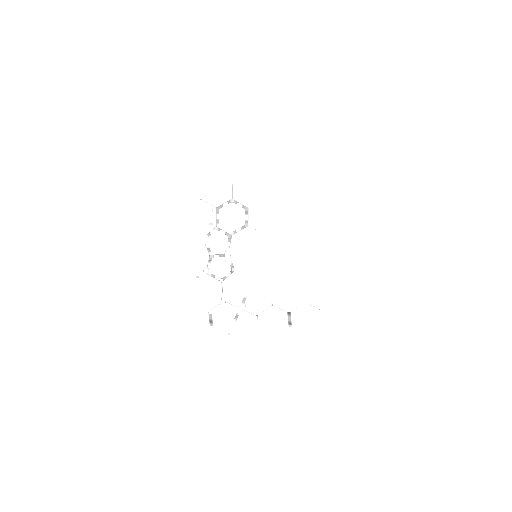 COC(=O)CCS(=O)(=O)N(C=O)c1cn2c(n1)sc1c(Cl)c(Cl)ccc12